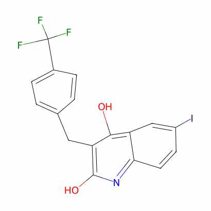 Oc1nc2ccc(I)cc2c(O)c1Cc1ccc(C(F)(F)F)cc1